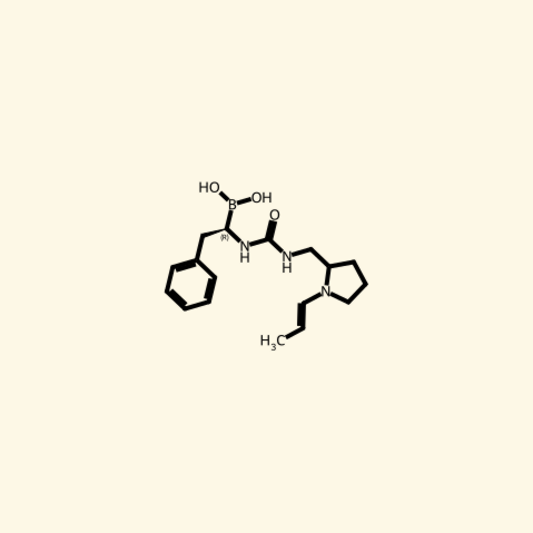 CC=CN1CCCC1CNC(=O)N[C@@H](Cc1ccccc1)B(O)O